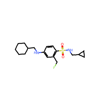 O=S(=O)(NCC1CC1)c1ccc(NCC2CCCCC2)cc1CF